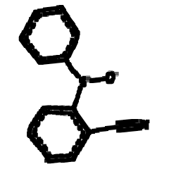 N#Cc1c[c]ccc1[S+]([O-])c1ccccc1